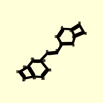 C(=Cc1ccc2c(c1)=CC=2)c1ccc2c(c1)C=C2